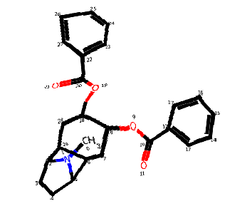 CN1C2CCC1C1CC(OC(=O)c3ccccc3)C(OC(=O)c3ccccc3)CC12